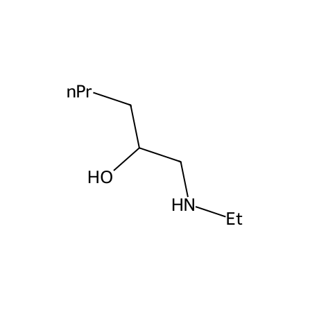 CCCCC(O)CNCC